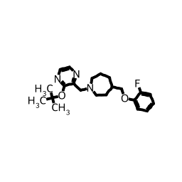 CC(C)(C)Oc1nccnc1CN1CCCC(COc2ccccc2F)CC1